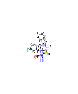 C[C@@H]1C[C@@]2(CCN1Cc1ccccc1)C(=S)NC(=O)N2c1cccc(F)c1